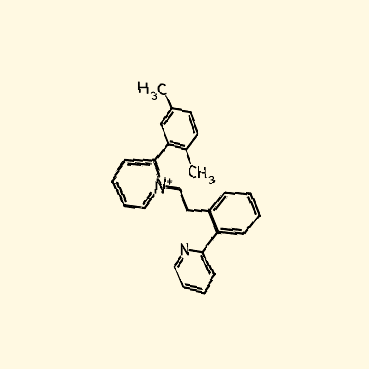 Cc1ccc(C)c(-c2cccc[n+]2CCc2ccccc2-c2ccccn2)c1